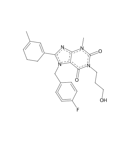 CC1=CCCC(c2nc3c(c(=O)n(CCCO)c(=O)n3C)n2CC2=C=C=C(F)C=C2)=C1